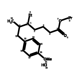 CCN(CCCC(=O)OC(C)C)C(C)Cc1ccc(OC)cc1.Cl